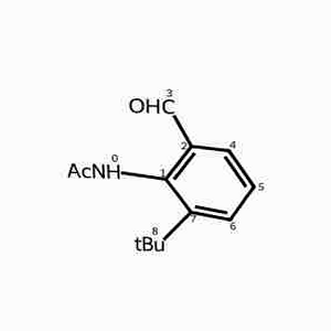 CC(=O)Nc1c(C=O)cccc1C(C)(C)C